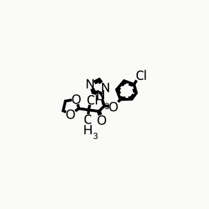 CC(C)(C(=O)C(Oc1ccc(Cl)cc1)n1cncn1)C1OCCO1